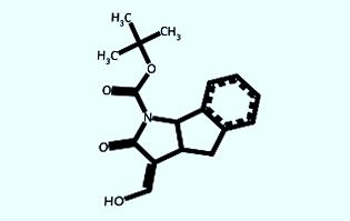 CC(C)(C)OC(=O)N1C(=O)C(=CO)C2Cc3ccccc3C21